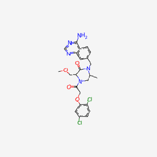 COCC1C(=O)N(Cc2ccc3c(N)ncnc3c2)C(C)CN1C(=O)COc1cc(Cl)ccc1Cl